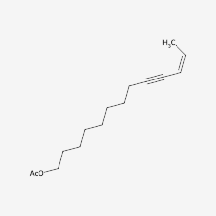 C/C=C\C#CCCCCCCCCOC(C)=O